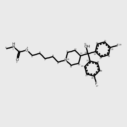 CNC(=O)OCCCCCN1CCC(C(O)(c2ccc(F)cc2)c2ccc(F)cc2)CC1